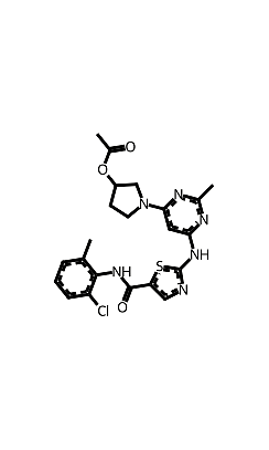 CC(=O)OC1CCN(c2cc(Nc3ncc(C(=O)Nc4c(C)cccc4Cl)s3)nc(C)n2)C1